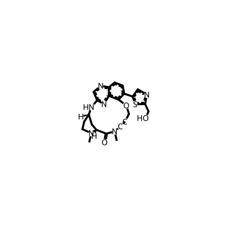 CN1CCCOc2c(-c3cnc(CO)s3)ccc3ncc(nc23)N[C@H]2CCN(C)[C@@H](C2)C1=O